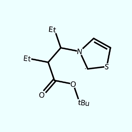 CCC(C(=O)OC(C)(C)C)C(CC)N1[CH]SC=C1